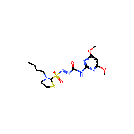 CCCCN1CCSC1S(=O)(=O)N=NC(=O)Nc1nc(OC)cc(OC)n1